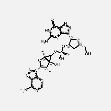 Nc1nc2c(nnn2[C@@H]2O[C@H](CO)C[C@@H]2OP(=O)(S)OC2[C@H]3O[C@@H](n4nnc5c(N)ncnc54)[C@@H](F)[C@@]23O)c(=O)[nH]1